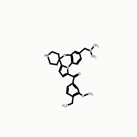 CCc1ccc(C(=O)c2ccc3n2-c2ccc(CN(C)C)cc2OC32CCNCC2)cc1OC